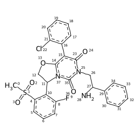 CS(=O)(=O)c1cccc(F)c1C1COc2c(-c3ccccc3Cl)c(=O)n(CC(N)c3ccccc3)c(=O)n21